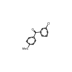 CSc1ccc(C(=O)c2cccc(Cl)c2)cc1